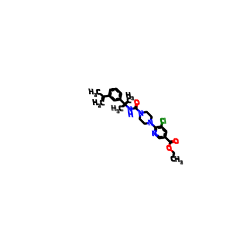 C=C(C)c1cccc(C(C)(C)NC(=O)N2CCN(c3ncc(C(=O)OCC)cc3Cl)CC2)c1